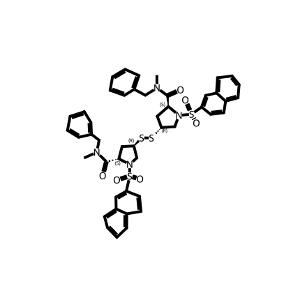 CN(Cc1ccccc1)C(=O)[C@@H]1C[C@@H](SS[C@@H]2C[C@@H](C(=O)N(C)Cc3ccccc3)N(S(=O)(=O)c3ccc4ccccc4c3)C2)CN1S(=O)(=O)c1ccc2ccccc2c1